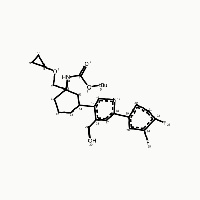 CC(C)(C)OC(=O)NC1(COC2CC2)CCCC(c2cnc(-c3ccc(F)c(F)c3)cc2CO)C1